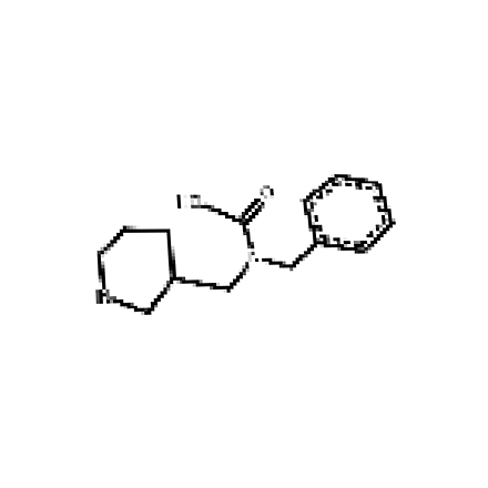 O=C(O)N(Cc1ccccc1)CC1CCCNC1